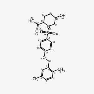 Cc1ccc(Cl)cc1COc1ccc(S(=O)(=O)N2CC(O)CCC2C(=O)O)cc1